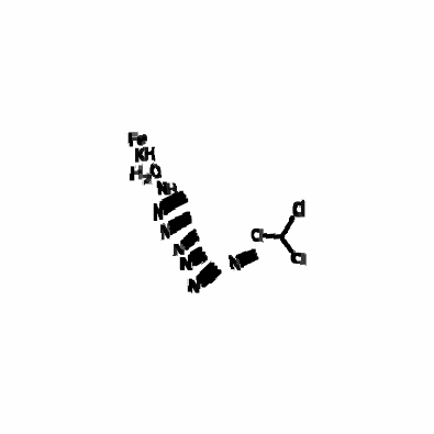 C#N.C#N.C#N.C#N.C#N.C#N.ClC(Cl)Cl.N.O.[Fe].[KH]